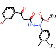 Cc1cc(N(NC(=O)CC(=O)c2cccc(Br)c2)C(=O)OC(C)(C)C)ccc1C(F)(F)F